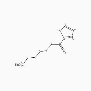 CCOC(=O)CCCCCC(=O)c1nccs1